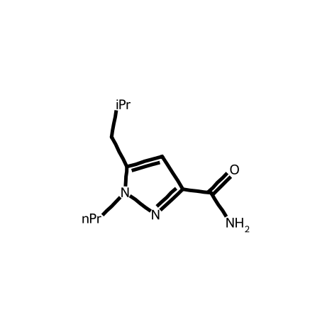 CCCn1nc(C(N)=O)cc1CC(C)C